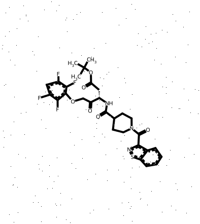 CC(C)(C)OC(=O)C[C@H](NC(=O)C1CCN(C(=O)c2nsc3ccccc23)CC1)C(=O)COc1c(F)c(F)cc(F)c1F